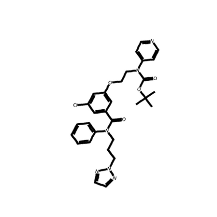 CC(C)(C)OC(=O)N(CCOc1cc(Cl)cc(C(=O)N(CCCn2nccn2)c2ccccc2)c1)c1ccncc1